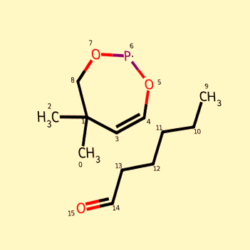 CC1(C)C=CO[P]OC1.CCCCCC=O